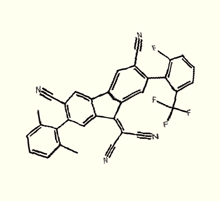 Cc1cccc(C)c1-c1cc2c(cc1C#N)-c1cc(C#N)c(-c3c(F)cccc3C(F)(F)F)cc1C2=C(C#N)C#N